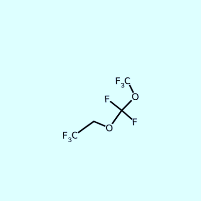 FC(F)(F)COC(F)(F)OC(F)(F)F